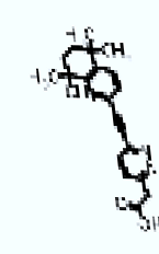 CC1(C)CCC(C)(C)c2cc(C#Cc3ccc(CC(=O)O)nn3)ccc21